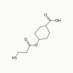 O=C(CCS)OC1CCC(C(=O)O)CC1